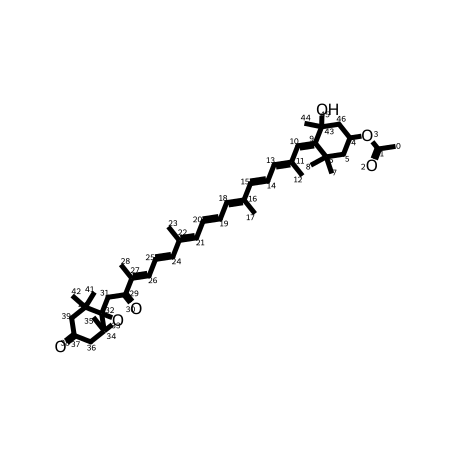 CC(=O)OC1CC(C)(C)C(=C/C(C)=C/C=C/C(C)=C/C=C/C=C(C)/C=C/C=C(\C)C(=O)CC23OC2(C)CC(=O)CC3(C)C)C(C)(O)C1